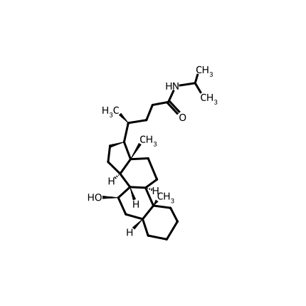 CC(C)NC(=O)CC[C@H](C)[C@@H]1CC[C@@H]2[C@H]3[C@H](O)C[C@H]4CCCC[C@@]4(C)[C@@H]3CC[C@]21C